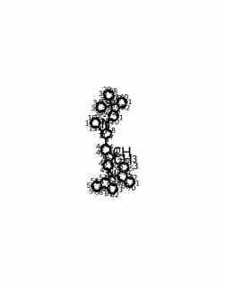 CC1(C)c2cc(-c3ccc4c(c3)c3ccccc3n4-c3ccc4c(c3)C(c3ccccc3)(c3ccccc3)c3ccccc3-4)ccc2-c2ccc(N(c3cc4ccccc4c4ccccc34)c3cc4ccccc4c4ccccc34)cc21